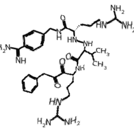 CC(C)[C@H](NN[C@@H](CCCNC(N)N)C(=O)NCc1ccc(C(=N)N)cc1)C(=O)N[C@@H](CCCNC(N)N)C(=O)C(=O)Cc1ccccc1